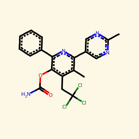 Cc1ncc(-c2nc(-c3ccccc3)c(OC(N)=O)c(CC(Cl)(Cl)Cl)c2C)cn1